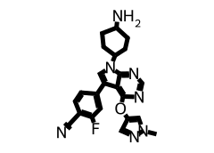 Cn1cc(Oc2ncnc3c2c(-c2ccc(C#N)c(F)c2)cn3C2CCC(N)CC2)cn1